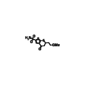 COCCC1CC(=O)c2cc(S(N)(=O)=O)sc2S1